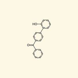 O=C(c1ccccc1)c1ccc(-c2ccccc2O)cc1